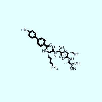 CCCCc1ccc(-c2ccc(C(=O)N[C@@H](CCCCN)C(=O)N[C@@H](N)C(=O)N[C@@H](CC(C)C)C(=O)N[C@@H](C)B(O)O)cc2)cc1